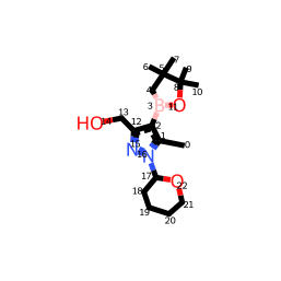 Cc1c(B2CC(C)(C)C(C)(C)O2)c(CO)nn1C1CCCCO1